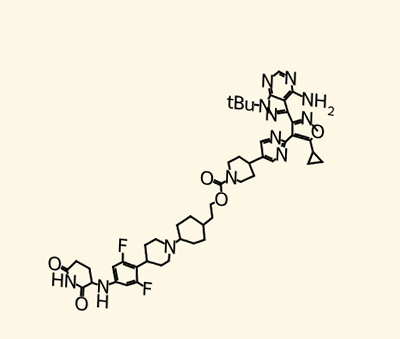 CC(C)(C)n1nc(-c2noc(C3CC3)c2-c2ncc(C3CCN(C(=O)OCCC4CCC(N5CCC(c6c(F)cc(NC7CCC(=O)NC7=O)cc6F)CC5)CC4)CC3)cn2)c2c(N)ncnc21